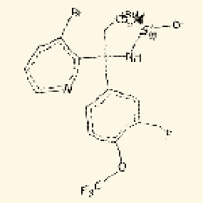 CC(C)(C)[S@@+]([O-])NC(CC(=O)O)(c1ccc(OC(F)(F)F)c(F)c1)c1ncccc1Br